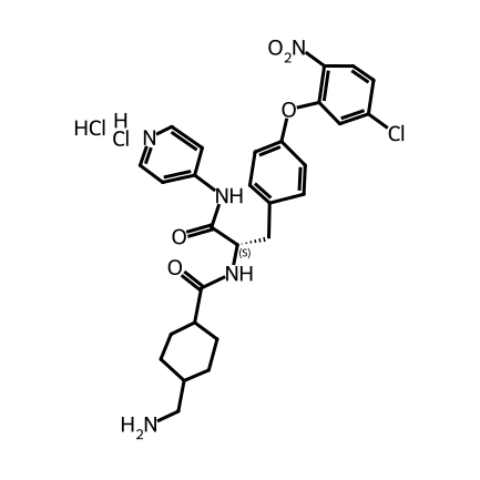 Cl.Cl.NCC1CCC(C(=O)N[C@@H](Cc2ccc(Oc3cc(Cl)ccc3[N+](=O)[O-])cc2)C(=O)Nc2ccncc2)CC1